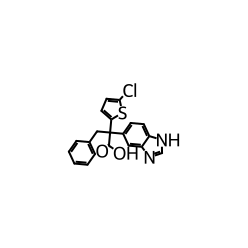 O=C(O)C(Cc1ccccc1)(c1ccc2[nH]cnc2c1)c1ccc(Cl)s1